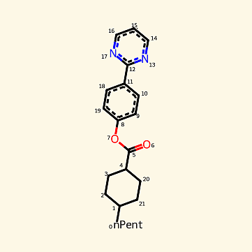 CCCCCC1CCC(C(=O)Oc2ccc(-c3nc[c]cn3)cc2)CC1